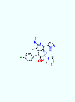 Cc1c(N=S)nc(-c2ccn[nH]2)c2nc(N3CCOC[C@H]3C)c(O)c(-c3ccc(F)cc3)c12